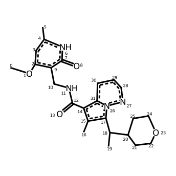 COc1cc(C)[nH]c(=O)c1CNC(=O)c1c(C)c(C(C)C2CCOCC2)n2ncccc12